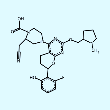 CN1CCCC1COc1nc2c(c(N3CCN(C(=O)O)C(CC#N)C3)n1)CCC(c1c(O)cccc1F)O2